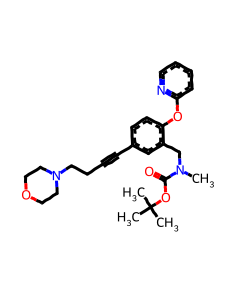 CN(Cc1cc(C#CCCN2CCOCC2)ccc1Oc1ccccn1)C(=O)OC(C)(C)C